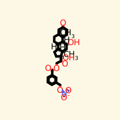 C[C@]12C=CC(=O)C=C1CC[C@@H]1[C@@H]2[C@@H](O)C[C@@]2(C)[C@H]1CC[C@]2(O)C(=O)COC(=O)c1cccc(CO[N+](=O)[O-])c1